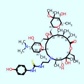 CC[C@@H]1OC(=O)[C@H](C)[C@H](C)[C@@H](C)[C@H](C[C@@H]2CC(C)(OC)[C@H](O)[C@H](C)O2)C(O)(C[C@@H]2O[C@H](C)C[C@H](N(C)C)[C@@H]2O)C[C@H](C)CN(CCNC(=S)Nc2ccc(O)cc2)[C@H](C)[C@@H](O)C1(C)O